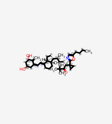 C=C1/C(=C\C=C2/CCC[C@]3(C)[C@@H]([C@H](C)CC[C@@H](C(=O)C(C)(C)C)C4(c5ncc(CCCC)o5)CC4)CC[C@@H]23)C[C@@H](O)C[C@@H]1O